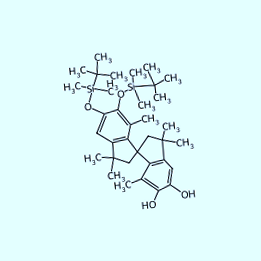 Cc1c(O)c(O)cc2c1C1(CC2(C)C)CC(C)(C)c2cc(O[Si](C)(C)C(C)(C)C)c(O[Si](C)(C)C(C)(C)C)c(C)c21